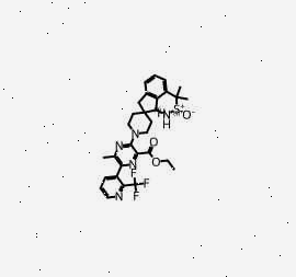 CCOC(=O)c1nc(-c2cccnc2C(F)(F)F)c(C)nc1N1CCC2(CC1)Cc1cccc3c1[C@H]2N[S@+]([O-])C3(C)C